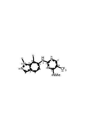 CNc1nc(Nc2ccc3cnn(C)c3c2C)ncc1C(F)(F)F